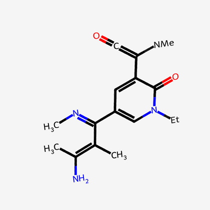 CCn1cc(C(=N/C)/C(C)=C(\C)N)cc(C(=C=O)NC)c1=O